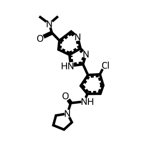 CN(C)C(=O)c1cnc2nc(-c3cc(NC(=O)N4CCCC4)ccc3Cl)[nH]c2c1